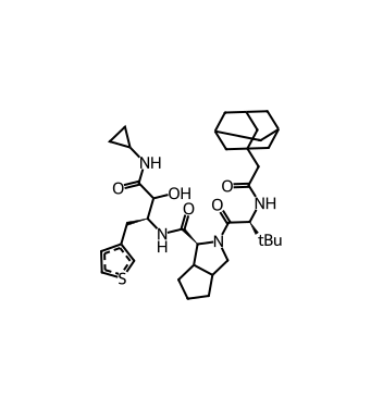 CC(C)(C)[C@H](NC(=O)CC12CC3CC(CC(C3)C1)C2)C(=O)N1CC2CCCC2[C@H]1C(=O)N[C@@H](Cc1ccsc1)C(O)C(=O)NC1CC1